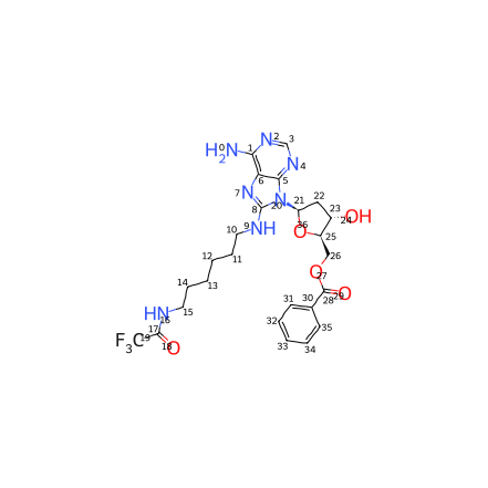 Nc1ncnc2c1nc(NCCCCCCNC(=O)C(F)(F)F)n2[C@H]1C[C@H](O)[C@@H](COC(=O)c2ccccc2)O1